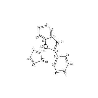 c1ccc(-c2nc3ccccc3o2)cc1.c1ccsc1